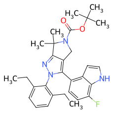 CCc1cccc(CC)c1-n1nc2c(c1-c1ccc(F)c3[nH]ccc13)CN(C(=O)OC(C)(C)C)C2(C)C